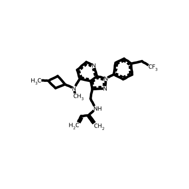 C=CC(=C)NCc1nn(-c2ccc(CC(F)(F)F)cc2)c2nccc(N(C)C3CC(C)C3)c12